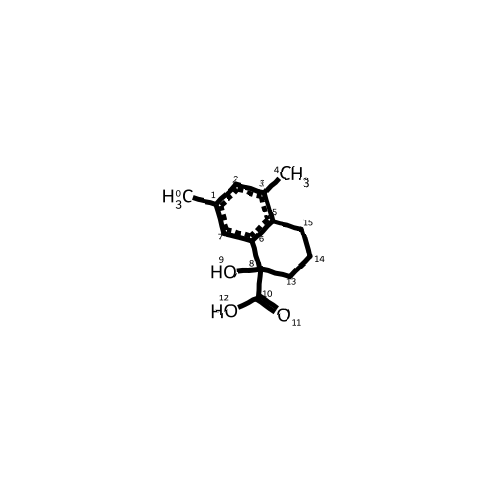 Cc1cc(C)c2c(c1)C(O)(C(=O)O)CCC2